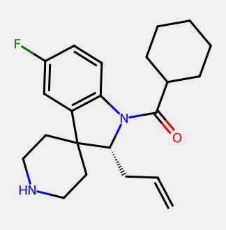 C=CC[C@H]1N(C(=O)C2CCCCC2)c2ccc(F)cc2C12CCNCC2